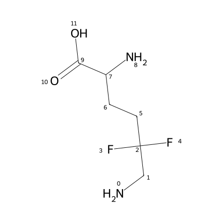 NCC(F)(F)CCC(N)C(=O)O